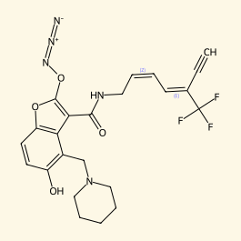 C#C/C(=C\C=C/CNC(=O)c1c(ON=[N+]=[N-])oc2ccc(O)c(CN3CCCCC3)c12)C(F)(F)F